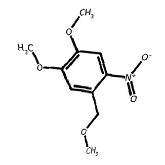 COCc1cc(OC)c(OC)cc1[N+](=O)[O-]